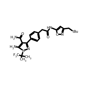 CC(C)(C)Cc1cc(NC(=O)Cc2ccc(-c3nn(C(C)(C)C(F)(F)F)c(N)c3C(N)=O)cc2)on1